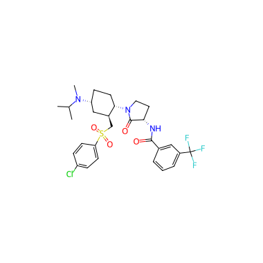 CC(C)N(C)[C@@H]1CC[C@H](N2CC[C@H](NC(=O)c3cccc(C(F)(F)F)c3)C2=O)[C@@H](CS(=O)(=O)c2ccc(Cl)cc2)C1